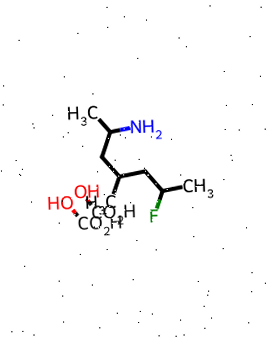 CC(N)CC(C)CC(C)F.O=C(O)O.O=C(O)O